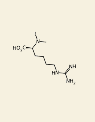 CN(I)[C@@H](CCCCNC(=N)N)C(=O)O